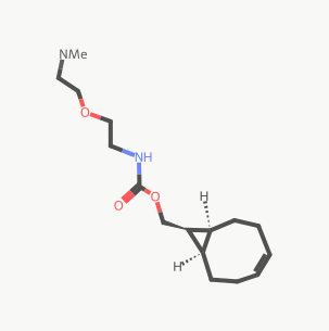 CNCCOCCNC(=O)OC[C@@H]1[C@@H]2CC/C=C\CC[C@@H]21